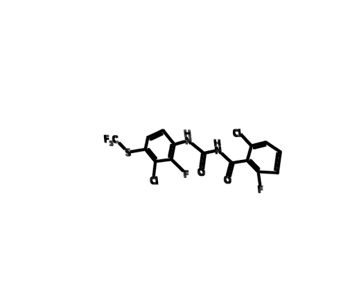 O=C(NC(=O)c1c(F)cccc1Cl)Nc1ccc(SC(F)(F)F)c(Cl)c1F